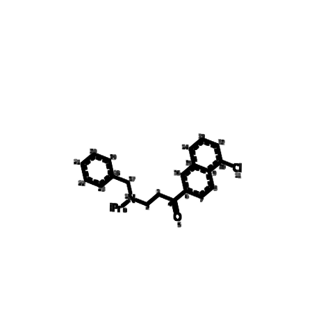 CC(C)N(CCC(=O)c1ccc2c(Cl)cccc2c1)Cc1ccccc1